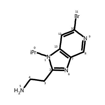 CC(C)n1c(CCN)nc2cnc(Br)cc21